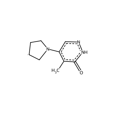 Cc1c(N2C[CH]CC2)cn[nH]c1=O